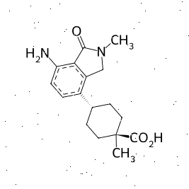 CN1Cc2c(c(N)ccc2[C@H]2CC[C@](C)(C(=O)O)CC2)C1=O